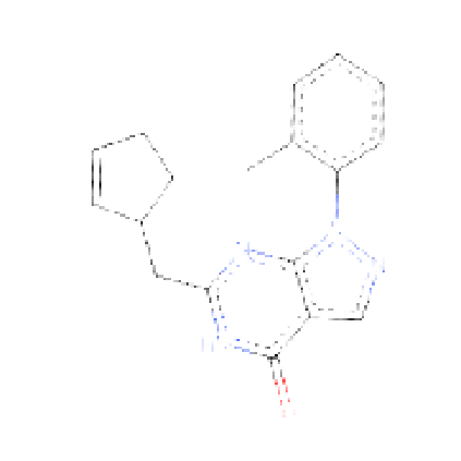 Cc1ccccc1-n1ncc2c(=O)[nH]c(CC3C=CCC3)nc21